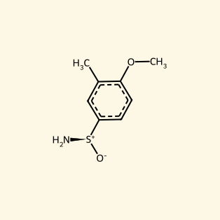 COc1ccc([S@+](N)[O-])cc1C